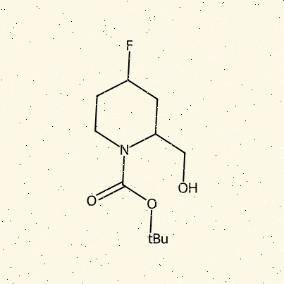 CC(C)(C)OC(=O)N1CCC(F)CC1CO